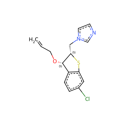 C=CCO[C@H]1c2ccc(Cl)cc2S[C@H]1Cn1ccnc1